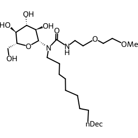 CCCCCCCCCCCCCCCCCCN(C(=O)NCCOCCOC)[C@@H]1O[C@H](CO)[C@@H](O)[C@H](O)[C@H]1O